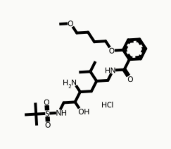 COCCCCOc1ccccc1C(=O)NCC(CC(N)C(O)CNS(=O)(=O)C(C)(C)C)C(C)C.Cl